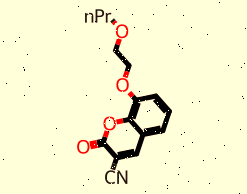 CCCOCCOc1cccc2cc(C#N)c(=O)oc12